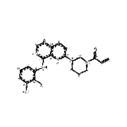 C=CC(=O)N1CCC[C@@H](c2ccc3ncnc(Nc4cccc(Cl)c4F)c3n2)C1